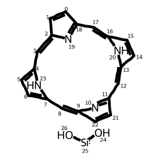 C1=Cc2cc3ccc(cc4nc(cc5ccc(cc1n2)[nH]5)C=C4)[nH]3.O[Si]O